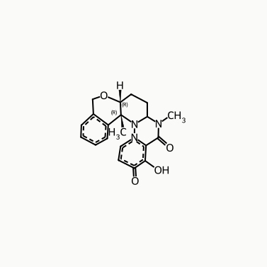 CN1C(=O)c2c(O)c(=O)ccn2N2C1CC[C@H]1OCc3ccccc3[C@]12C